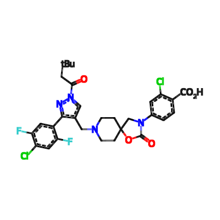 CC(C)(C)CC(=O)n1cc(CN2CCC3(CC2)CN(c2ccc(C(=O)O)c(Cl)c2)C(=O)O3)c(-c2cc(F)c(Cl)cc2F)n1